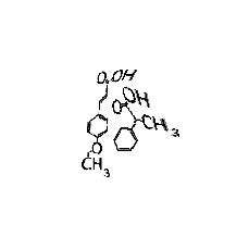 CC(C(=O)O)c1ccccc1.CCOc1ccc(/C=C/C(=O)O)cc1